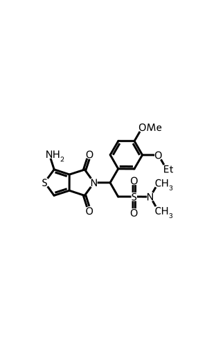 CCOc1cc(C(CS(=O)(=O)N(C)C)N2C(=O)c3csc(N)c3C2=O)ccc1OC